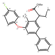 COC(=O)C(CC(C)C)c1cc(-c2ccccc2)cc(Oc2ccc(F)cc2)c1C(F)(F)F